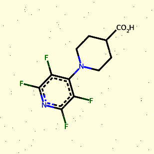 O=C(O)C1CCN(c2c(F)c(F)nc(F)c2F)CC1